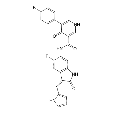 O=C1Nc2cc(NC(=O)c3c[nH]cc(-c4ccc(F)cc4)c3=O)c(F)cc2C1=Cc1ccc[nH]1